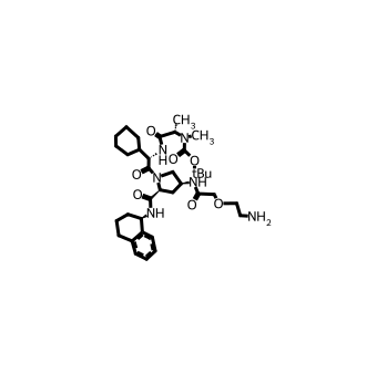 C[C@@H](C(=O)N[C@H](C(=O)N1C[C@@H](NC(=O)COCCN)C[C@H]1C(=O)N[C@@H]1CCCc2ccccc21)C1CCCCC1)N(C)C(=O)OC(C)(C)C